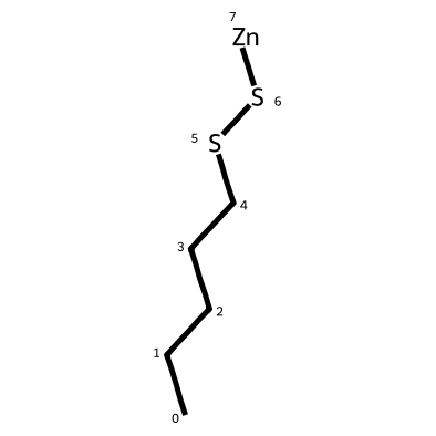 CCCCCS[S][Zn]